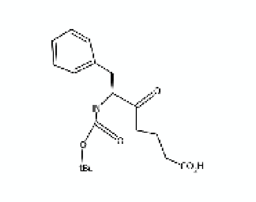 CC(C)(C)OC(=O)N[C@@H](Cc1ccccc1)C(=O)CCCC(=O)O